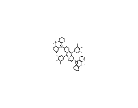 Cc1cc(-c2c3ccc(N4c5ccccc5C(C)(C)c5ccccc54)cc3c(-c3cc(C)c(C)c(C)c3)c3ccc(N4C5=C(C=CCC5)C(C)(C)c5ccccc54)cc23)cc(C)c1C